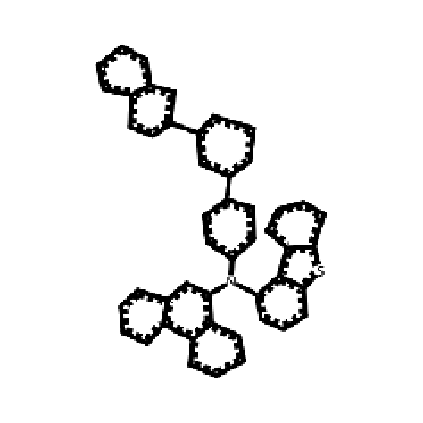 c1cc(-c2ccc(N(c3cc4ccccc4c4ccccc34)c3cccc4sc5ccccc5c34)cc2)cc(-c2ccc3ccccc3c2)c1